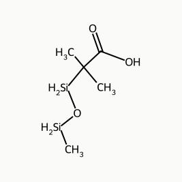 C[SiH2]O[SiH2]C(C)(C)C(=O)O